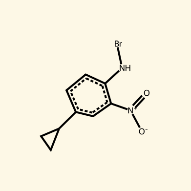 O=[N+]([O-])c1cc(C2CC2)ccc1NBr